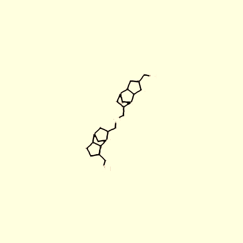 OCC1CC2C3CC(COCC4CC5CC4C4C(CO)CCC54)C(C3)C2C1